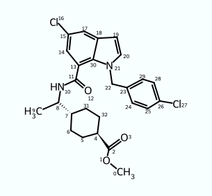 COC(=O)[C@H]1CC[C@H](C(C)NC(=O)c2cc(Cl)cc3ccn(Cc4ccc(Cl)cc4)c23)CC1